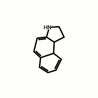 C1=CC2=CC=C3NCCC3C2C=C1